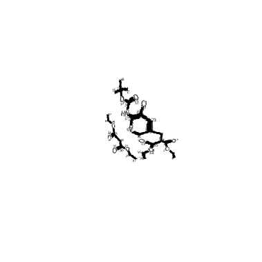 CCOC(=O)C(Cc1cnc(NC(=O)OC(C)(C)C)c(Cl)c1)C(=O)OCC.CCOC(=O)CC(=O)OCC